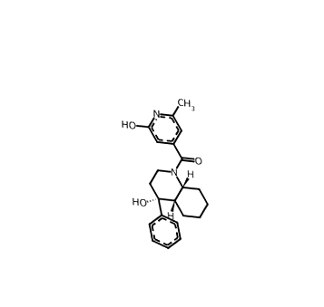 Cc1cc(C(=O)N2CC[C@](O)(c3ccccc3)[C@H]3CCCC[C@H]32)cc(O)n1